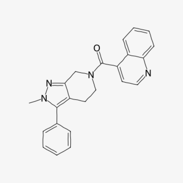 Cn1nc2c(c1-c1ccccc1)CCN(C(=O)c1ccnc3ccccc13)C2